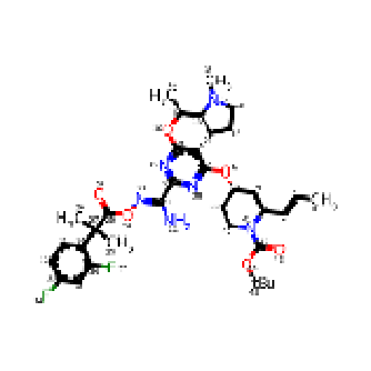 C/C=C/C1C[C@@H](Oc2cc(O[C@@H](C)[C@@H]3CCCN3C)nc(/C(N)=N/OC(=O)C(C)(C)c3ccc(F)cc3F)n2)CCN1C(=O)OC(C)(C)C